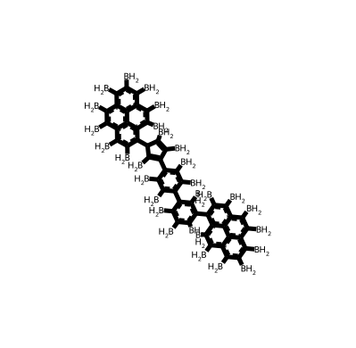 BC1=C(B)C(c2c(B)c(B)c3c(B)c(B)c4c(B)c(B)c(B)c5c(B)c(B)c2c3c45)C(B)=C1c1c(B)c(B)c(-c2c(B)c(B)c(B)c(-c3c(B)c(B)c4c(B)c(B)c5c(B)c(B)c(B)c6c(B)c(B)c3c4c56)c2B)c(B)c1B